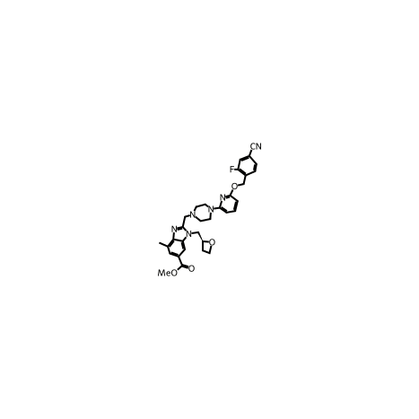 COC(=O)c1cc(C)c2nc(CN3CCN(c4cccc(OCc5ccc(C#N)cc5F)n4)CC3)n(C[C@@H]3CCO3)c2c1